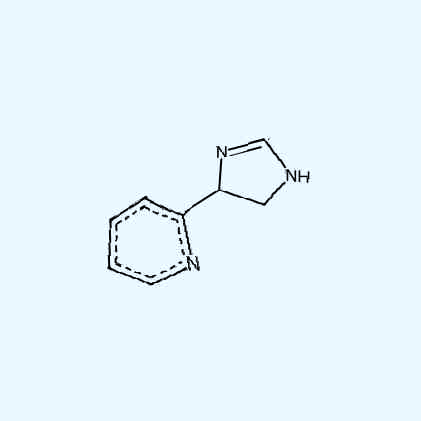 [C]1=NC(c2ccccn2)CN1